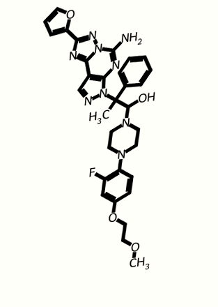 COCCOc1ccc(N2CCN(C(O)C(C)(c3ccccc3)n3ncc4c3nc(N)n3nc(-c5ccco5)nc43)CC2)c(F)c1